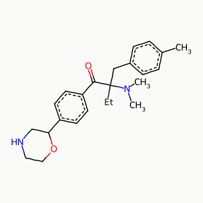 CCC(Cc1ccc(C)cc1)(C(=O)c1ccc(C2CNCCO2)cc1)N(C)C